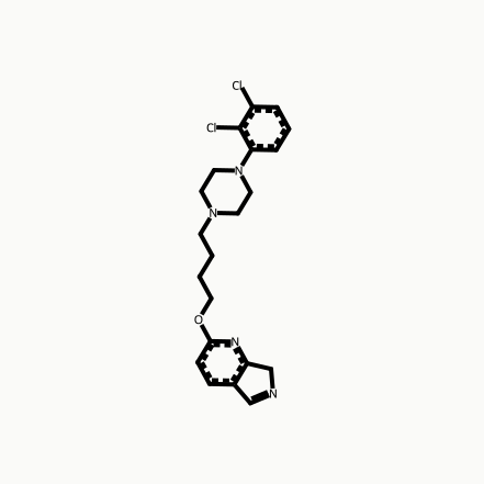 Clc1cccc(N2CCN(CCCCOc3ccc4c(n3)CN=C4)CC2)c1Cl